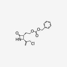 C=C(CCl)[C@H]1NC(=O)[C@H]1CCOC(=O)OCc1ccccc1